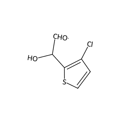 O=[C]C(O)c1sccc1Cl